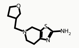 Nc1nc2c(s1)CN(CC1CCOC1)CC2